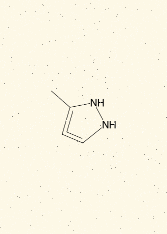 CC1=C=CNN1